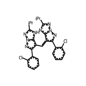 CC(C)c1nc2c(=Cc3c(-c4ccccc4Cl)nn4nc(C(C)C)[nH]c34)c(-c3ccccc3Cl)nn2n1